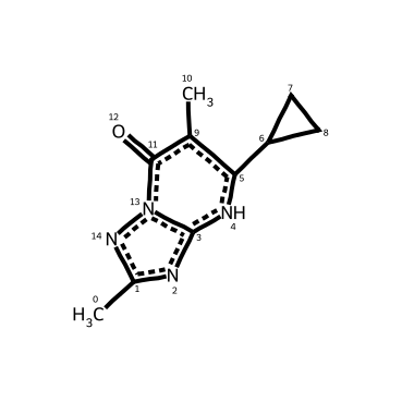 Cc1nc2[nH]c(C3CC3)c(C)c(=O)n2n1